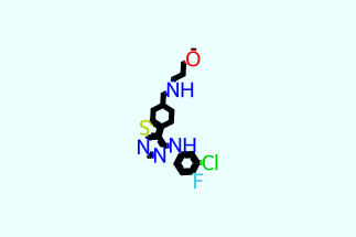 COCCCNCC1CCc2c(sc3ncnc(Nc4ccc(F)c(Cl)c4)c23)C1